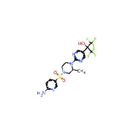 C[C@H]1CN(S(=O)(=O)c2ccc(N)nc2)CCN1c1ncc(C(O)(C(F)(F)F)C(F)(F)F)cn1